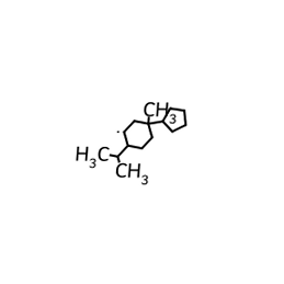 CC(C)C1[CH]CC(C)(C2CCCC2)CC1